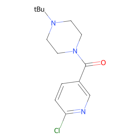 CC(C)(C)N1CCN(C(=O)c2ccc(Cl)nc2)CC1